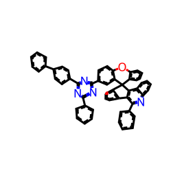 c1ccc(-c2ccc(-c3nc(-c4ccccc4)nc(-c4ccc5c(c4)C4(c6ccccc6O5)c5ccccc5-c5c(-c6ccccc6)nc6ccccc6c54)n3)cc2)cc1